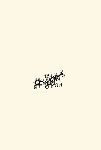 CC(C)(C)[C@@H](C(=O)N1CC(O)CC1C(=O)NCCc1cccc(F)c1F)n1cc(C2CC2)nn1